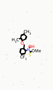 COC(=S)N(O)c1cc(C(F)(F)F)ccc1COc1ccc(C)cc1C